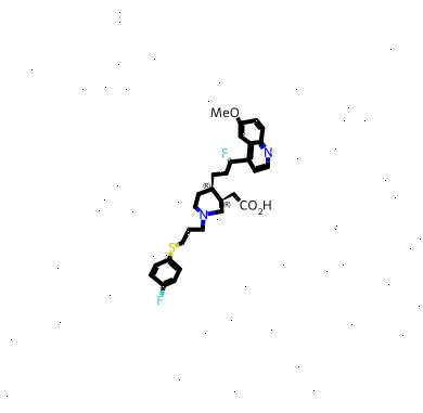 COc1ccc2nccc(C(F)CC[C@@H]3CCN(CCCSc4ccc(F)cc4)C[C@@H]3CC(=O)O)c2c1